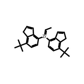 C[CH]=[Zr]([c]1ccc(C(C)(C)C)c2c1C=CC2)[c]1ccc(C(C)(C)C)c2c1C=CC2